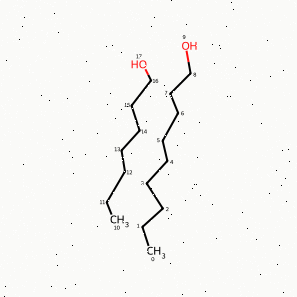 CCCCCCCCCO.CCCCCCCO